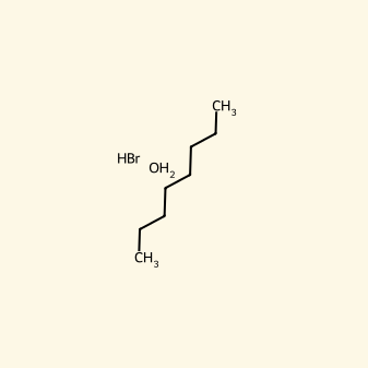 Br.CCCCCCCC.O